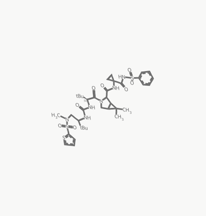 CN(CC(NC(=O)N[C@H](C(=O)N1CC2C(C1C(=O)NC1(C(=O)NS(=O)(=O)c3ccccc3)CC1)C2(C)C)C(C)(C)C)C(C)(C)C)S(=O)(=O)c1cccs1